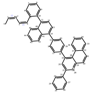 C/C=N\C=C/c1ccccc1-c1ccc(-c2ccc(-c3cc(-c4ccccc4)nc4ccc5ccccc5c34)cc2)c2ccccc12